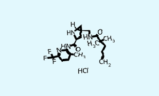 C=CCCC(C)(C)C(=O)NC[C@@]12C[C@@H](C(=O)Nc3nc(C(F)(F)F)ccc3C)N[C@@H]1C2.Cl